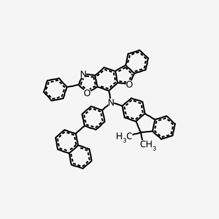 CC1(C)c2ccccc2-c2ccc(N(c3ccc(-c4cccc5ccccc45)cc3)c3c4oc(-c5ccccc5)nc4cc4c3oc3ccccc34)cc21